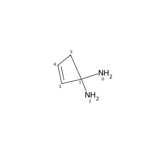 NC1(N)C=CC1